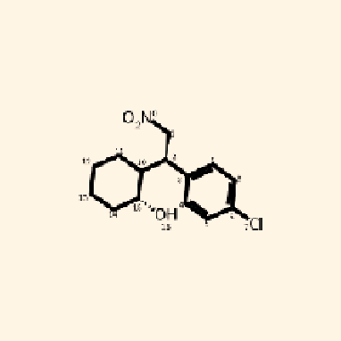 O=[N+]([O-])C[C@@H](c1ccc(Cl)cc1)C1CCCC[C@H]1O